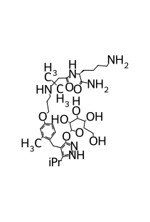 Cc1cc(OCCCNC(C)(C)CC(=O)N[C@@H](CCCCN)C(N)=O)ccc1Cc1c(OC2OC(CO)[C@@H](O)C(O)[C@H]2O)n[nH]c1C(C)C